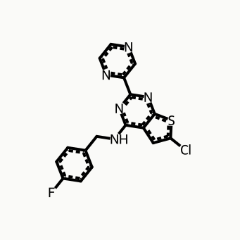 Fc1ccc(CNc2nc(-c3cnccn3)nc3sc(Cl)cc23)cc1